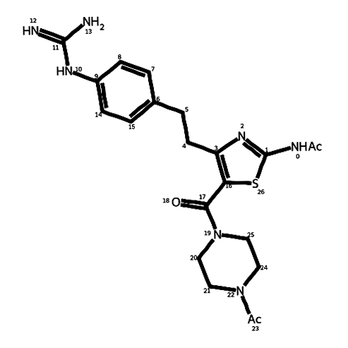 CC(=O)Nc1nc(CCc2ccc(NC(=N)N)cc2)c(C(=O)N2CCN(C(C)=O)CC2)s1